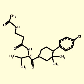 CC(=O)NCCC(=O)N[C@@H](C(=O)N1CCC(c2ccc(Cl)cc2)C(C)(C)C1)C(C)C